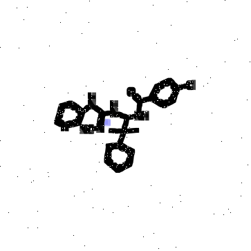 CC(C)(c1ccccc1)C(NC(=O)c1ccc(Cl)cc1)N/C(=N/C#N)Nc1cccnc1